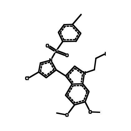 COc1cc2c(-c3cc(Cl)cn3S(=O)(=O)c3ccc(C)cc3)cn(CCI)c2cc1OC